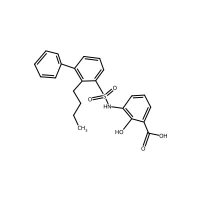 CCCCc1c(-c2ccccc2)cccc1S(=O)(=O)Nc1cccc(C(=O)O)c1O